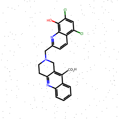 O=C(O)c1c2c(nc3ccccc13)CCN(Cc1ccc3c(Cl)cc(Cl)c(O)c3n1)C2